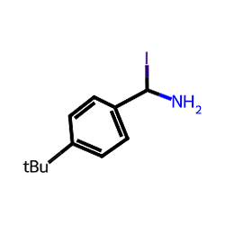 CC(C)(C)c1ccc(C(N)I)cc1